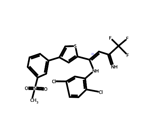 CS(=O)(=O)c1cccc(-c2csc(/C(=C/C(=N)C(F)(F)F)Nc3cc(Cl)ccc3Cl)c2)c1